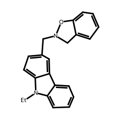 CCn1c2ccccc2c2cc(CN3Cc4ccccc4O3)ccc21